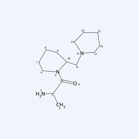 CC(N)C(=O)N1CCCCC1CN1CCCCC1